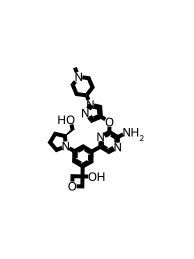 CN1CCC(n2cc(Oc3nc(-c4cc(N5CCC[C@H]5CO)cc(C5(O)COC5)c4)cnc3N)cn2)CC1